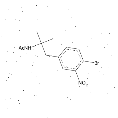 CC(=O)NC(C)(C)Cc1ccc(Br)c([N+](=O)[O-])c1